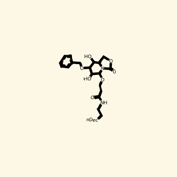 CCCCCCCCCCCCNC(=O)CCOC1C(O)C(OCc2ccccc2)C(O)C2COC(=O)N21